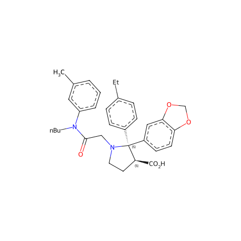 CCCCN(C(=O)CN1CC[C@H](C(=O)O)[C@]1(c1ccc(CC)cc1)c1ccc2c(c1)OCO2)c1cccc(C)c1